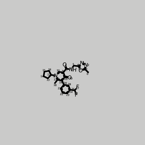 Cc1nnc(CNC(=O)c2cn(C3CCCC3)c(C)c(-c3cccc(C(F)F)c3)c2=O)o1